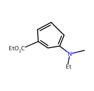 CCOC(=O)c1cccc(N(C)CC)c1